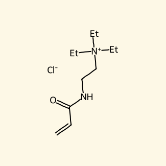 C=CC(=O)NCC[N+](CC)(CC)CC.[Cl-]